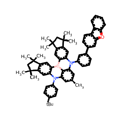 Cc1cc2c3c(c1)N(c1cccc(-c4ccc5c(c4)oc4ccccc45)c1)c1cc4c(cc1B3c1cc3c(cc1N2c1ccc(C(C)(C)C)cc1)C(C)(C)CC3(C)C)C(C)(C)CC4(C)C